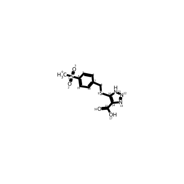 CS(=O)(=O)c1ccc(CSc2[nH]nnc2C(=O)O)cc1